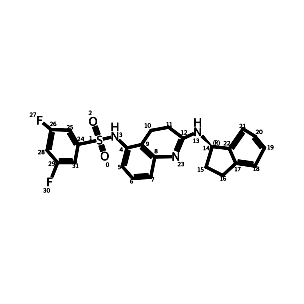 O=S(=O)(Nc1cccc2c1CCC(N[C@@H]1CCc3ccccc31)=N2)c1cc(F)cc(F)c1